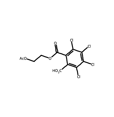 CC(=O)OCCOC(=O)c1c(Cl)c(Cl)c(Cl)c(Cl)c1C(=O)O